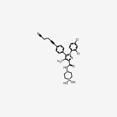 Cc1c(C(=O)NN2CCS(O)(O)CC2)nn(-c2ccc(Cl)cc2Cl)c1-c1ccc(C#CCCC#N)cc1